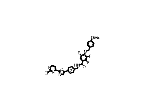 COc1ccc(COc2c(F)cc(C(=O)NCC34CCC(c5cnc(-c6ccnc(Cl)n6)o5)(CC3)CC4)c(F)c2F)cc1